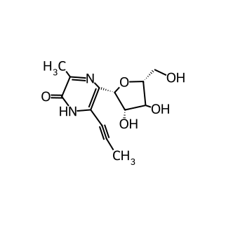 CC#Cc1[nH]c(=O)c(C)nc1[C@@H]1O[C@H](CO)C(O)[C@@H]1O